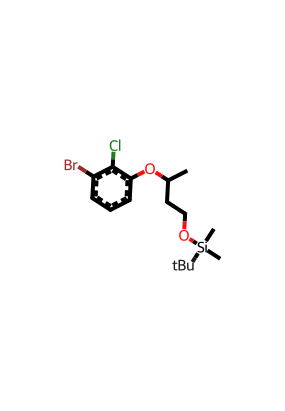 CC(CCO[Si](C)(C)C(C)(C)C)Oc1cccc(Br)c1Cl